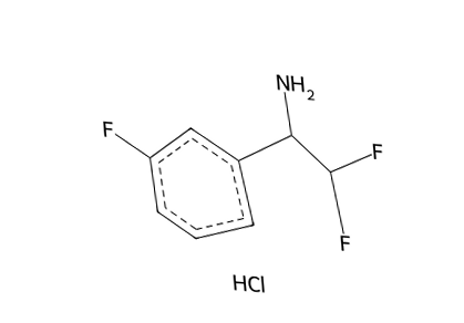 Cl.NC(c1cccc(F)c1)C(F)F